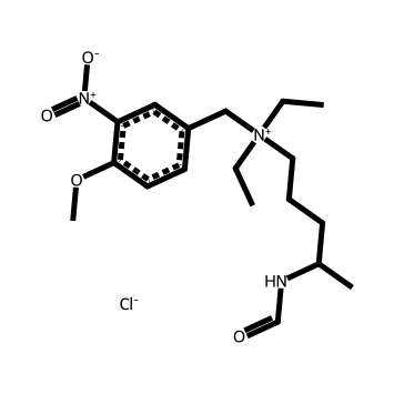 CC[N+](CC)(CCCC(C)NC=O)Cc1ccc(OC)c([N+](=O)[O-])c1.[Cl-]